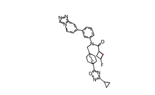 O=C(N(CC12CCC(c3nc(C4CC4)no3)(CC1)CC2)c1cccc(-c2ccn3cnnc3c2)c1)C12CC(F)(C1)C2